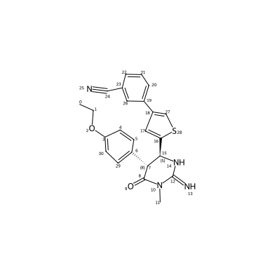 CCOc1ccc([C@H]2C(=O)N(C)C(=N)N[C@@H]2c2cc(-c3cccc(C#N)c3)cs2)cc1